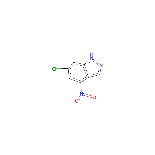 O=[N+]([O-])c1cc(Cl)cc2[nH]ncc12